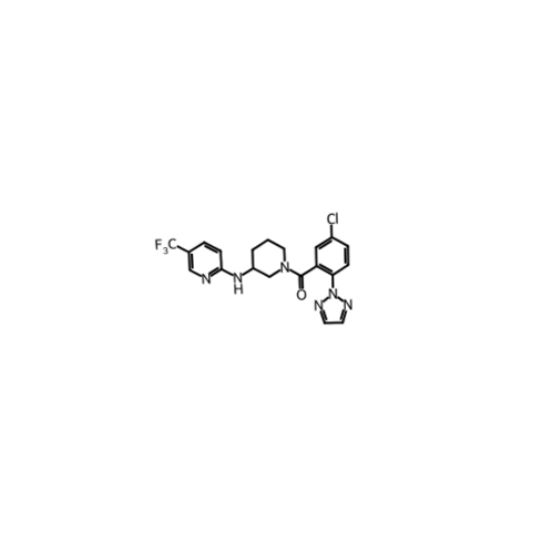 O=C(c1cc(Cl)ccc1-n1nccn1)N1CCCC(Nc2ccc(C(F)(F)F)cn2)C1